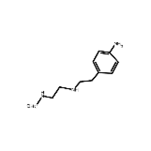 Nc1ccc(CCNCCNC=O)cc1